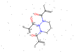 C=C(C)C(=O)N1CCCN(C(=O)C(=C)C)N1C(=O)C(=C)C